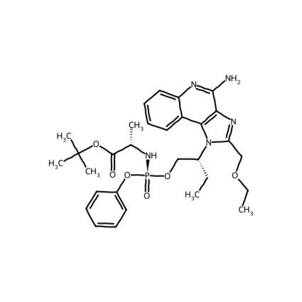 CCOCc1nc2c(N)nc3ccccc3c2n1[C@H](CC)CO[P@@](=O)(N[C@@H](C)C(=O)OC(C)(C)C)Oc1ccccc1